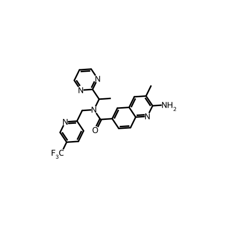 Cc1cc2cc(C(=O)N(Cc3ccc(C(F)(F)F)cn3)C(C)c3ncccn3)ccc2nc1N